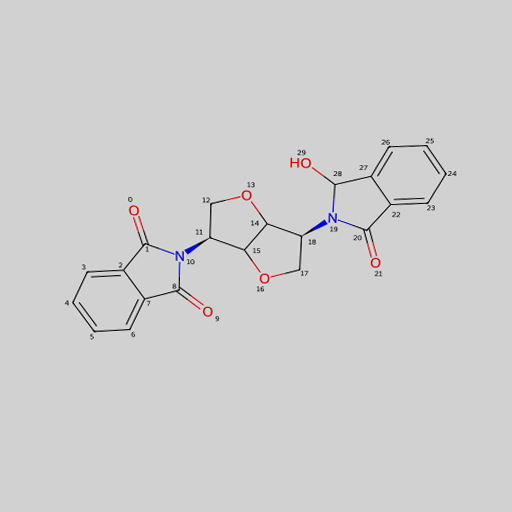 O=C1c2ccccc2C(=O)N1[C@H]1COC2C1OC[C@@H]2N1C(=O)c2ccccc2C1O